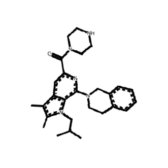 Cc1c(C)n(CC(C)C)c2c(N3CCc4ccccc4C3)nc(C(=O)N3CCNCC3)cc12